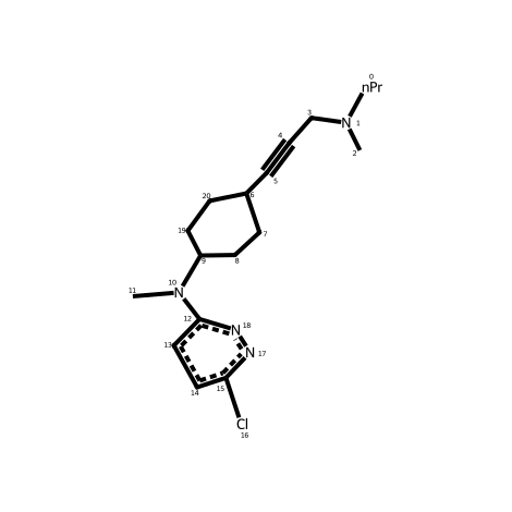 CCCN(C)CC#CC1CCC(N(C)c2ccc(Cl)nn2)CC1